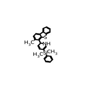 Cc1ccc2c(sc3ccccc32)c1C1C=CC([Si](C)(C)c2ccccc2)=CN1